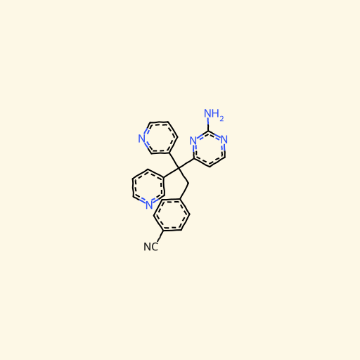 N#Cc1ccc(CC(c2cccnc2)(c2cccnc2)c2ccnc(N)n2)cc1